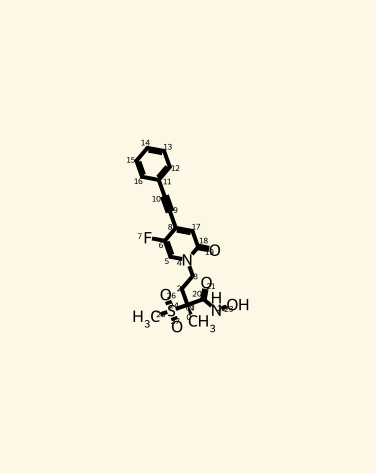 C[C@@](CCn1cc(F)c(C#Cc2ccccc2)cc1=O)(C(=O)NO)S(C)(=O)=O